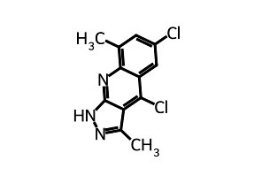 Cc1cc(Cl)cc2c(Cl)c3c(C)n[nH]c3nc12